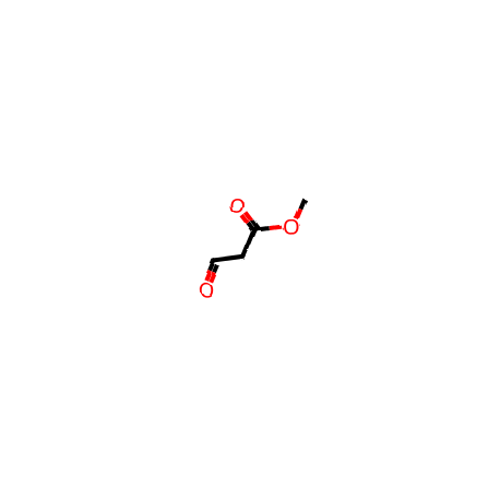 COC(=O)CC=O